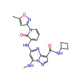 CNc1cc(Nc2cccn(-c3cc(C)on3)c2=O)nc2c(C(=O)NC3CCC3)cnn12